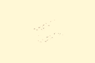 C[C@H](CCC(=O)[O-])[C@H]1CC[C@H]2[C@@H]3CC[C@@H]4C[C@H](O)CC[C@]4(C)[C@H]3CC[C@]12C.C[C@H](CCC(=O)[O-])[C@H]1CC[C@H]2[C@@H]3CC[C@@H]4C[C@H](O)CC[C@]4(C)[C@H]3CC[C@]12C.[Mg+2]